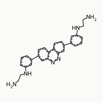 NCCNc1cccc(-c2ccc3c(c2)nnc2cc(-c4cccc(NCCN)c4)ccc23)c1